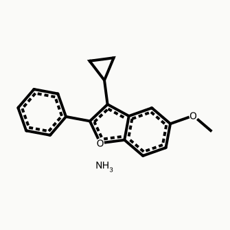 COc1ccc2oc(-c3ccccc3)c(C3CC3)c2c1.N